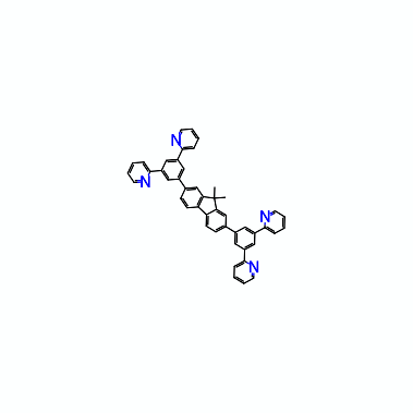 CC1(C)c2cc(-c3cc(-c4ccccn4)cc(-c4ccccn4)c3)ccc2-c2ccc(-c3cc(-c4ccccn4)cc(-c4ccccn4)c3)cc21